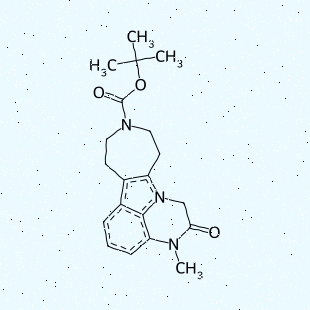 CN1C(=O)Cn2c3c(c4cccc1c42)CCN(C(=O)OC(C)(C)C)CC3